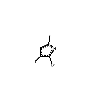 Cn1cc(I)c(Br)n1